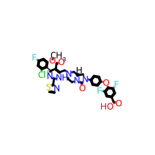 COC(=O)C1=C(CN2CCN3C(=O)N(c4ccc(Oc5c(F)cc(C(=O)O)cc5F)cc4)C[C@@H]3C2)NC(c2nccs2)=N[C@H]1c1ccc(F)cc1Cl